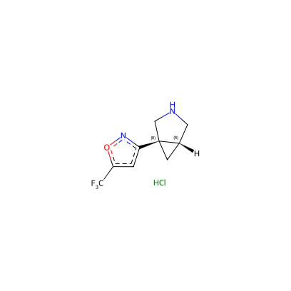 Cl.FC(F)(F)c1cc([C@@]23CNC[C@@H]2C3)no1